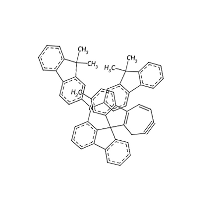 Cc1ccc2c(c1)C1(C3=C2C=CC#CC3)c2ccccc2-c2cccc(N(c3ccc4c(c3)C(C)(C)c3ccccc3-4)c3ccc4c(c3)C(C)(C)c3ccccc3-4)c21